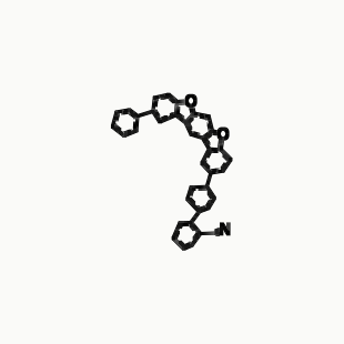 N#Cc1ccccc1-c1ccc(-c2ccc3oc4cc5oc6ccc(-c7ccccc7)cc6c5cc4c3c2)cc1